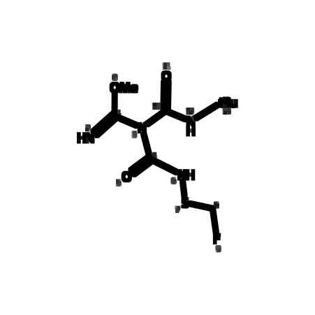 COC(=N)N(C(=O)NSCF)C(=O)NC(C)(C)C